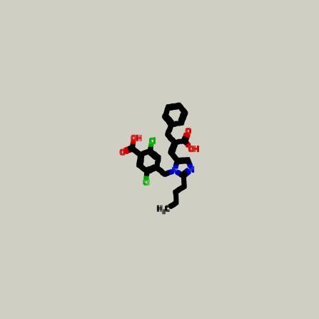 CCCCc1ncc(C=C(Cc2ccccc2)C(=O)O)n1Cc1cc(Cl)c(C(=O)O)cc1Cl